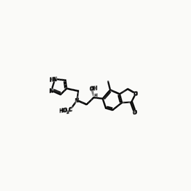 Cc1c([C@@H](O)CN(Cc2cn[nH]c2)C(=O)O)ccc2c1COC2=O